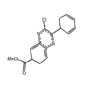 COC(=O)C1C=c2nc(Cl)c(C3C=CC=CC3)nc2=CC1